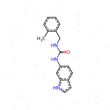 Cc1ccccc1CNC(=O)Nc1ccc2cc[nH]c2c1